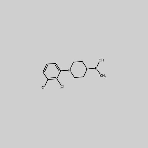 CB(O)N1CCN(c2cccc(Cl)c2Cl)CC1